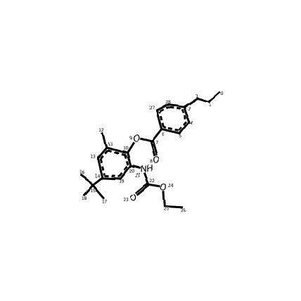 CCCc1ccc(C(=O)Oc2c(C)cc(C(C)(C)C)cc2NC(=O)OCC)cc1